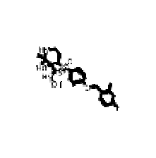 Cc1cc(F)ccc1COc1ccc(S(=O)(=O)C2CCNC(C)(C)C2(O)C(=O)NO)cc1